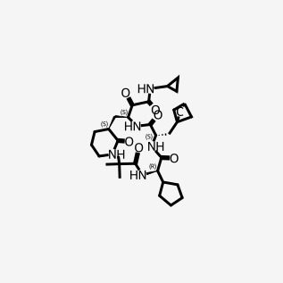 CC(C)(C)C(=O)N[C@@H](C(=O)N[C@@H](CC12CC(C1)C2)C(=O)N[C@@H](C[C@@H]1CCCNC1=O)C(=O)C(=O)NC1CC1)C1CCCC1